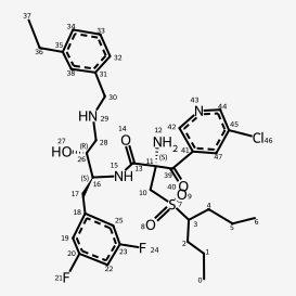 CCCC(CCC)S(=O)(=O)C[C@@](N)(C(=O)N[C@@H](Cc1cc(F)cc(F)c1)[C@H](O)CNCc1cccc(CC)c1)C(=O)c1cncc(Cl)c1